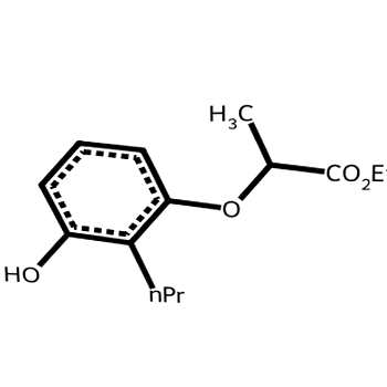 CCCc1c(O)cccc1OC(C)C(=O)OCC